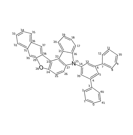 c1ccc(-c2cc(-c3ccccc3)cc(-n3c4ccccc4c4c5c(ccc43)oc3cc4ccccc4cc35)c2)cc1